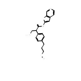 NCC(C(=O)Nc1cc2ccncc2s1)c1ccc(CCCO[N+](=O)[O-])cc1